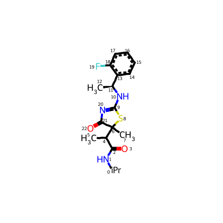 CC(C)NC(=O)C(C)C1(C)SC(N[C@@H](C)c2ccccc2F)=NC1=O